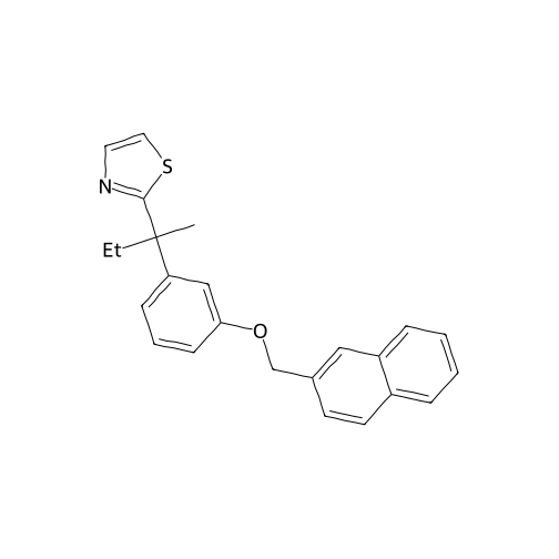 CCC(C)(c1cccc(OCc2ccc3ccccc3c2)c1)c1nccs1